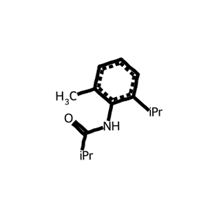 Cc1cccc(C(C)C)c1NC(=O)C(C)C